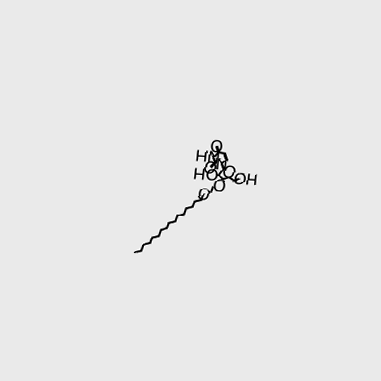 CCCCCCCCCCCCCCCCOCCOC1C(CO)OC(n2ccc(=O)[nH]c2=O)C1O